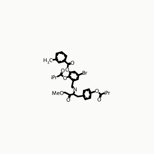 COCC(=O)C(Cc1ccc(OC(=O)C(C)C)cc1)N=Cc1cc(Br)cc(OC(=O)c2cccc(C)c2)c1OC(=O)C(C)C